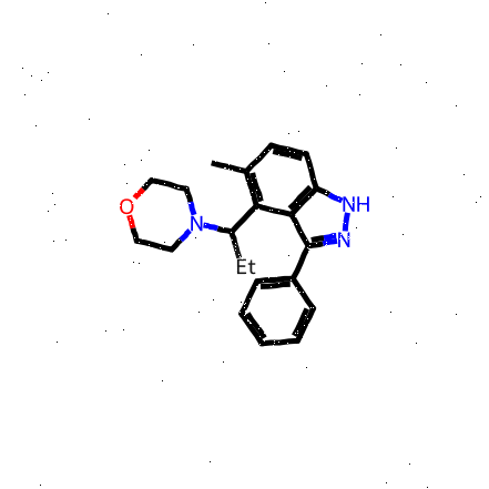 CCC(c1c(C)ccc2[nH]nc(-c3ccccc3)c12)N1CCOCC1